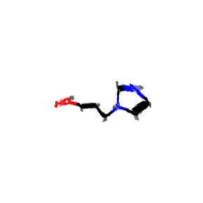 OC=CCn1ccnc1